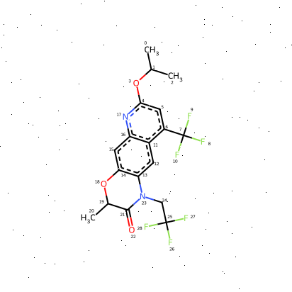 CC(C)Oc1cc(C(F)(F)F)c2cc3c(cc2n1)OC(C)C(=O)N3CC(F)(F)F